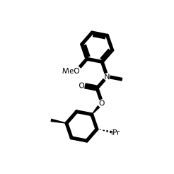 COc1ccccc1N(C)C(=O)O[C@@H]1C[C@H](C)CC[C@H]1C(C)C